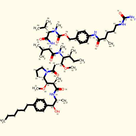 CCCCCCc1ccc([C@H](O)[C@@H](C)NC(=O)[C@H](C)[C@@H](OC)[C@@H]2CCCN2C(=O)C[C@@H](OC)[C@H]([C@@H](C)CC)N(C)C(=O)[C@@H](NC(=O)[C@H](C(C)C)N(C)C(=O)OCc2ccc(NC(=O)[C@@H](C)CCCNC(N)=O)cc2)C(C)C)cc1